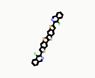 Fc1c(-c2cc3cc4sc5c6cc7sc(-c8ncc9ccccc9c8F)cc7cc6sc5c4cc3s2)ncc2ccccc12